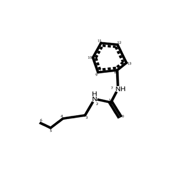 C=C(NCCCC)Nc1ccccc1